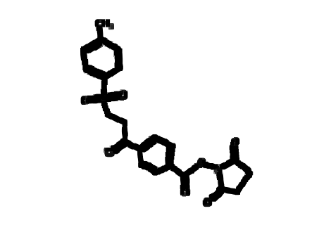 Cc1ccc(S(=O)(=O)CCC(=O)c2ccc(C(=O)ON3C(=O)CCC3=O)cc2)cc1